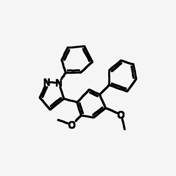 COc1cc(OC)c(-c2ccnn2-c2ccccc2)cc1-c1ccccc1